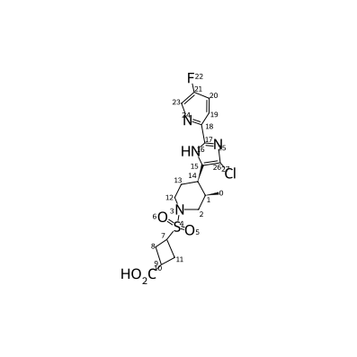 C[C@H]1CN(S(=O)(=O)C2CC(C(=O)O)C2)CC[C@H]1c1[nH]c(-c2ccc(F)cn2)nc1Cl